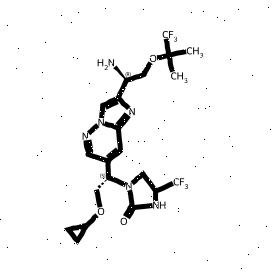 CC(C)(OC[C@H](N)c1cn2ncc([C@@H](COC3CC3)N3CC(C(F)(F)F)NC3=O)cc2n1)C(F)(F)F